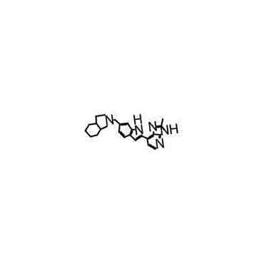 Cc1nc2c(-c3cc4ccc(CN5CCC6CCCCC6C5)cc4[nH]3)ccnc2[nH]1